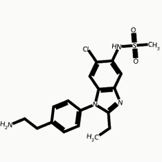 CCc1nc2cc(NS(C)(=O)=O)c(Cl)cc2n1-c1ccc(CCN)cc1